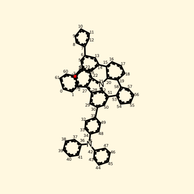 c1ccc(-c2cc(-c3ccccc3)cc(-c3cccc4c3-n3c5ccccc5c5cc(-c6ccc(N(c7ccccc7)c7ccccc7)cc6)cc(c53)-c3ccccc3-4)c2)cc1